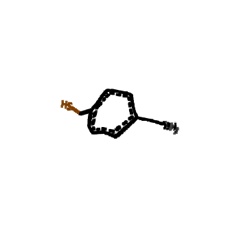 Bc1ccc(S)cc1